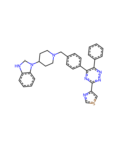 [CH]1Nc2ccccc2N1C1CCN(Cc2ccc(-c3nc(-c4cscn4)nnc3-c3ccccc3)cc2)CC1